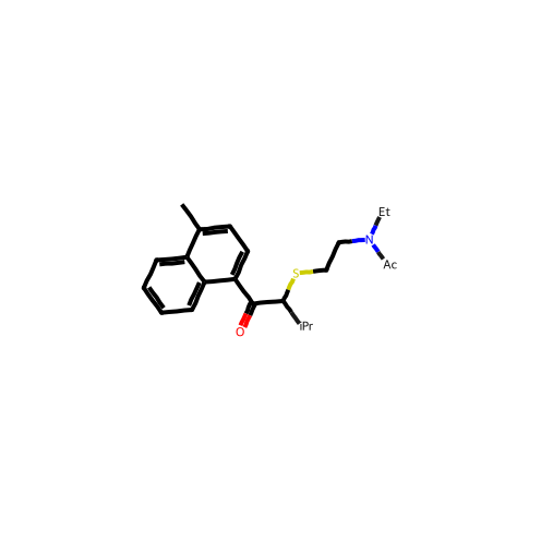 CCN(CCSC(C(=O)c1ccc(C)c2ccccc12)C(C)C)C(C)=O